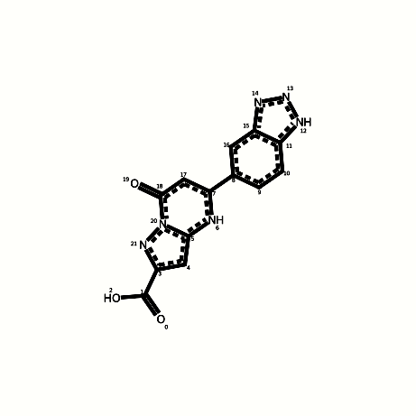 O=C(O)c1cc2[nH]c(-c3ccc4[nH]nnc4c3)cc(=O)n2n1